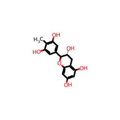 Cc1c(O)cc(C2Oc3cc(O)cc(O)c3C[C@H]2O)cc1O